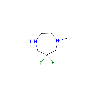 CN1CCNCC(F)(F)C1